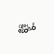 NC(=O)SC1CCCN1Cc1ccc(OCc2cccc(F)c2)cc1